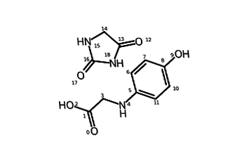 O=C(O)CNc1ccc(O)cc1.O=C1CNC(=O)N1